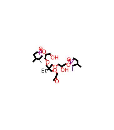 CCC(COCC(O)COP1(=O)CCC(C)[C@H]1I)(COCC1CO1)COCC(CO)OP1(=O)CCC(C)[C@@H](C)C1